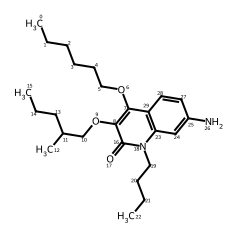 CCCCCCOc1c(OCC(C)CCC)c(=O)n(CCCC)c2cc(N)ccc12